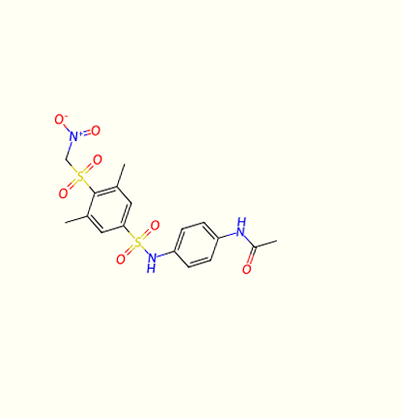 CC(=O)Nc1ccc(NS(=O)(=O)c2cc(C)c(S(=O)(=O)C[N+](=O)[O-])c(C)c2)cc1